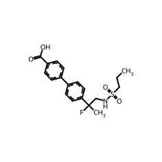 CCCS(=O)(=O)NCC(C)(F)c1ccc(-c2ccc(C(=O)O)cc2)cc1